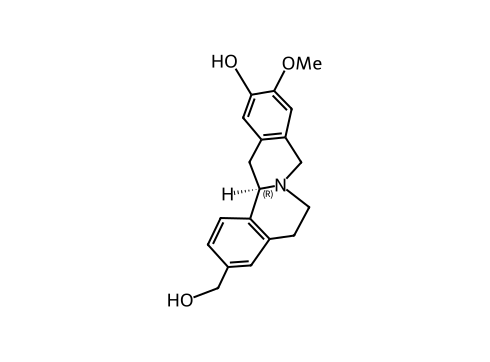 COc1cc2c(cc1O)C[C@@H]1c3ccc(CO)cc3CCN1C2